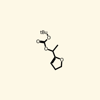 CC(OC(=O)OC(C)(C)C)C1=CCCO1